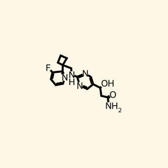 NC(=O)CC(O)c1cnc(NCC2(c3ncccc3F)CCC2)nc1